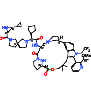 CO[C@@H](C)c1ncccc1-c1c2c3cc(ccc3n1CC(F)(F)F)[C@@H]1CCN(C1)C[C@H](NC(=O)[C@H](C1CCCC1)N1CC[C@]3(CCN(C(=O)[C@@H]4N[C@@H]4C4CC4)C3)C1)C(=O)N1CCC[C@H](N1)C(=O)OCC(C)(C)C2